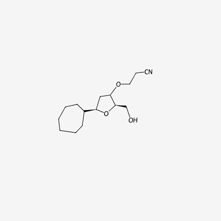 N#CCCOC1C[C@H](C2CCCCCC2)O[C@@H]1CO